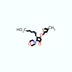 Cc1csc(CO[C@H]2CC(=O)[C@H](N3CCOCC3)[C@H]2C/C=C\CCCC(=O)O)c1